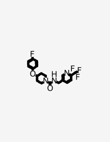 O=C(NCc1ccc(C(F)(F)F)nc1)N1CCC(Oc2ccc(F)cc2)CC1